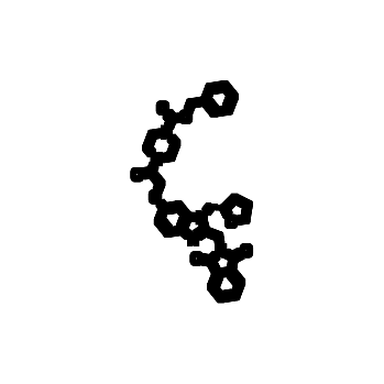 O=C(COc1ccc2nc(CN3C(=O)c4ccccc4C3=O)n(C[C@@H]3CCCO3)c2c1)N1CCN(C(=O)OCc2ccccc2)CC1